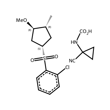 CO[C@@H]1C[C@@H](S(=O)(=O)c2ccccc2Cl)C[C@H]1C.N#CC1(NC(=O)O)CC1